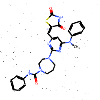 CN(c1ccccc1)c1cc(/C=C2/SC(=O)NC2=O)nc(N2CCCN(C(=O)Nc3ccccc3)CC2)n1